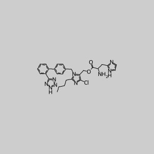 CCCCc1nc(Cl)c(COC(=O)C(N)Cc2ncc[nH]2)n1Cc1ccc(-c2ccccc2-c2nn[nH]n2)cc1